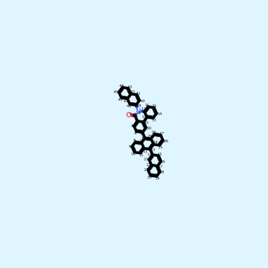 O=c1c2ccc(-c3c4ccccc4c(-c4ccc5ccccc5c4)c4ccccc34)cc2c2ccccc2n1-c1ccc2ccccc2c1